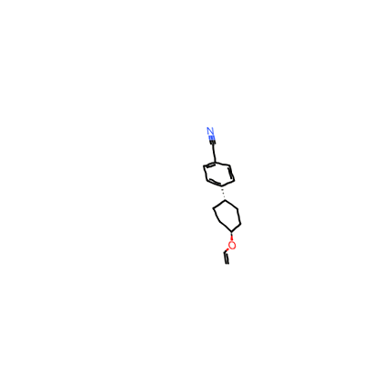 C=CO[C@H]1CC[C@H](c2ccc(C#N)cc2)CC1